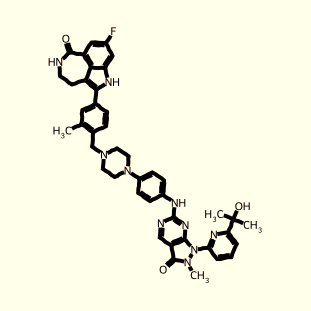 Cc1cc(-c2[nH]c3cc(F)cc4c3c2CCNC4=O)ccc1CN1CCN(c2ccc(Nc3ncc4c(=O)n(C)n(-c5cccc(C(C)(C)O)n5)c4n3)cc2)CC1